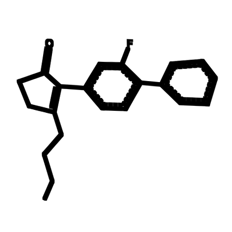 CCCCC1=C(c2ccc(-c3ccccc3)c(F)c2)C(=O)CC1